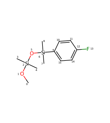 CO[Si](C)(C)O[Si](C)(C)c1ccc(F)cc1